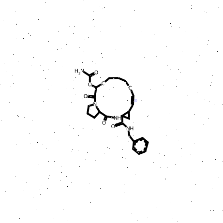 NC(=O)OC1CCCCC/C=C\C2CC2(C(=O)NCc2ccccc2)NC(=O)C2CCCN2C1=O